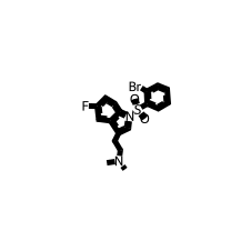 CN(C)CCc1cn(S(=O)(=O)c2ccccc2Br)c2ccc(F)cc12